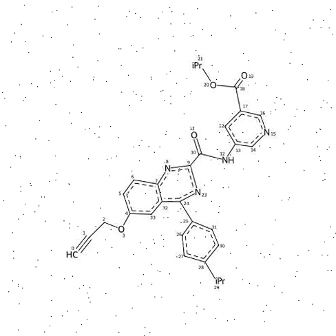 C#CCOc1ccc2nc(C(=O)Nc3cncc(C(=O)OC(C)C)c3)nc(-c3ccc(C(C)C)cc3)c2c1